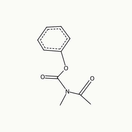 CC(=O)N(C)C(=O)Oc1ccccc1